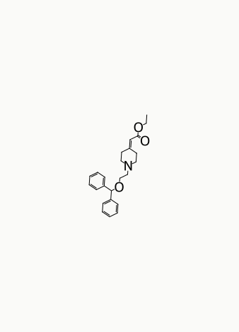 CCOC(=O)C=C1CCN(CCOC(c2ccccc2)c2ccccc2)CC1